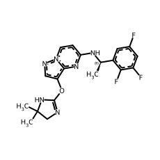 C[C@@H](Nc1ccn2ncc(OC3=NCC(C)(C)N3)c2n1)c1cc(F)cc(F)c1F